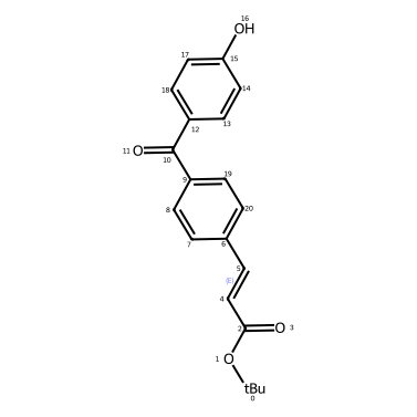 CC(C)(C)OC(=O)/C=C/c1ccc(C(=O)c2ccc(O)cc2)cc1